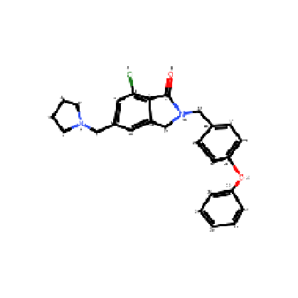 O=C1c2c(Cl)cc(CN3CCCC3)cc2CN1Cc1ccc(Oc2ccccc2)cc1